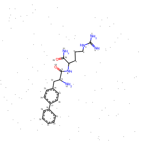 N=C(N)NCCCC(NC(=O)C(N)Cc1ccc(-c2ccccc2)cc1)C(N)=O